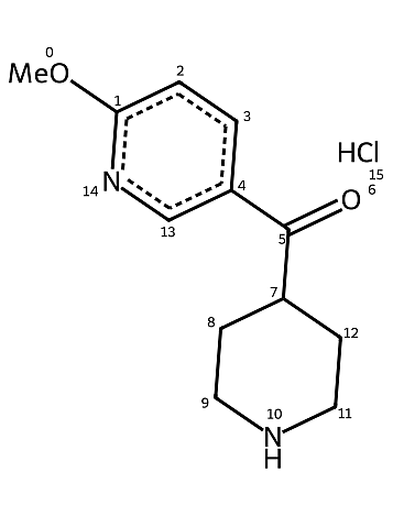 COc1ccc(C(=O)C2CCNCC2)cn1.Cl